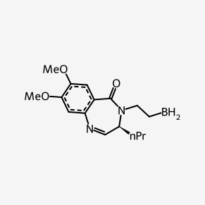 BCCN1C(=O)c2cc(OC)c(OC)cc2N=C[C@@H]1CCC